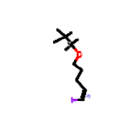 CC(C)(C)[Si](C)(C)OCCC/C=C\I